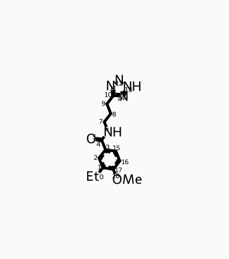 CCc1cc(C(=O)NCCCc2nn[nH]n2)ccc1OC